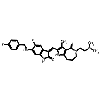 Cc1c(C=C2C(=O)Nc3cc(NCc4ccc(F)cc4)c(F)cc32)[nH]c2c1C(=O)N(CCN(C)C)CCC2